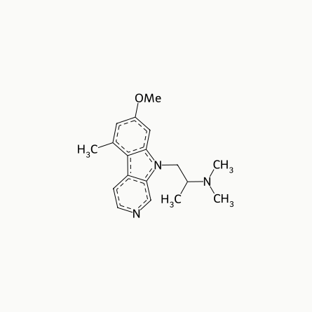 COc1cc(C)c2c3ccncc3n(CC(C)N(C)C)c2c1